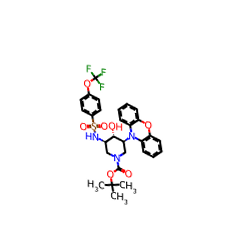 CC(C)(C)OC(=O)N1C[C@@H](NS(=O)(=O)c2ccc(OC(F)(F)F)cc2)[C@H](O)[C@@H](N2c3ccccc3Oc3ccccc32)C1